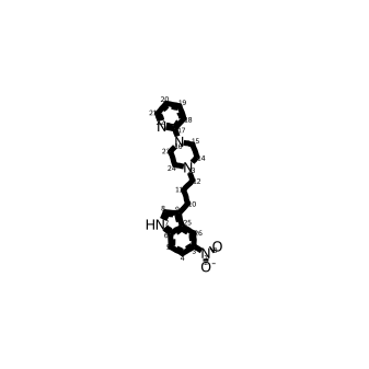 O=[N+]([O-])c1ccc2[nH]cc(CCCN3CCN(c4ccccn4)CC3)c2c1